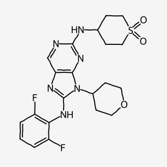 O=S1(=O)CCC(Nc2ncc3nc(Nc4c(F)cccc4F)n(C4CCOCC4)c3n2)CC1